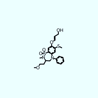 COCCC1CN(c2ccccc2)c2cc(SC)c(O/C=C/CO)cc2S(=O)(=O)N1C